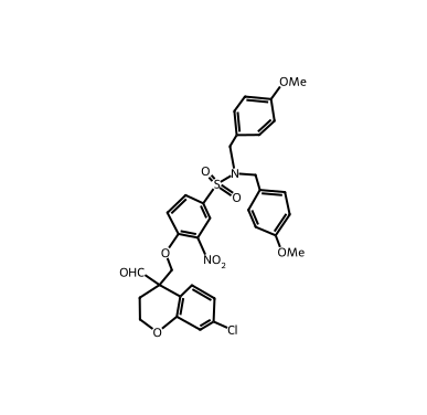 COc1ccc(CN(Cc2ccc(OC)cc2)S(=O)(=O)c2ccc(OCC3(C=O)CCOc4cc(Cl)ccc43)c([N+](=O)[O-])c2)cc1